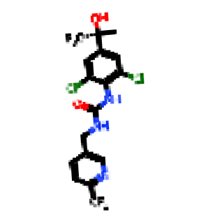 C[C@](O)(c1cc(Cl)c(NC(=O)NCc2ccc(C(F)(F)F)nc2)c(Cl)c1)C(F)(F)F